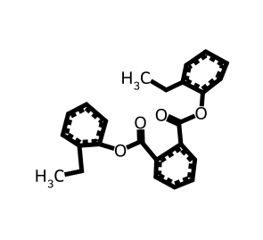 CCc1ccccc1OC(=O)c1ccccc1C(=O)Oc1ccccc1CC